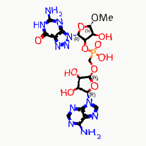 CO[C@H]1O[C@@H](n2nnc3c(=O)[nH]c(N)nc32)C(OP(=O)(O)CO[C@H]2O[C@@H](n3cnc4c(N)ncnc43)C(O)C2O)C1O